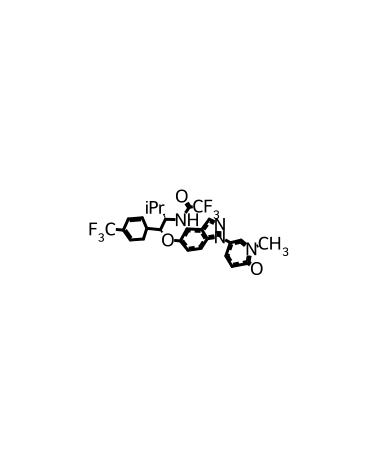 CC(C)[C@H](NC(=O)C(F)(F)F)[C@H](Oc1ccc2c(cnn2-c2ccc(=O)n(C)c2)c1)C1C=CC(C(F)(F)F)=CC1